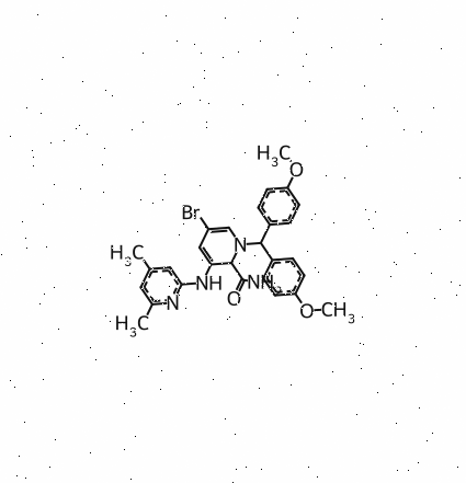 COc1ccc(C(c2ccc(OC)cc2)N2C=C(Br)C=C(Nc3cc(C)cc(C)n3)C2C(N)=O)cc1